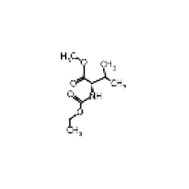 CCOC(=O)N[C@@H](C(=O)OC)C(C)C